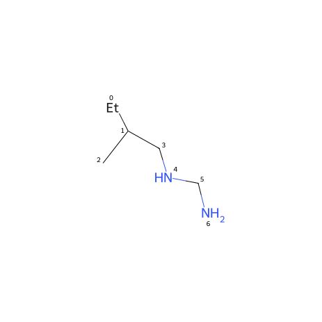 CCC(C)CNCN